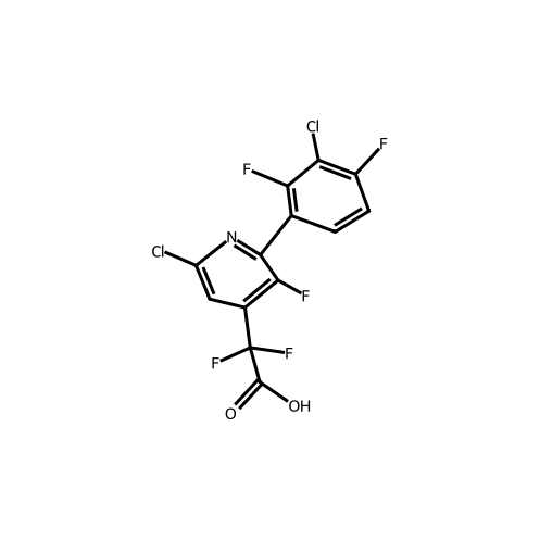 O=C(O)C(F)(F)c1cc(Cl)nc(-c2ccc(F)c(Cl)c2F)c1F